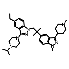 CCc1ccc2c(c1)c(N1CCN(C(C)C)CC1)nn2CC(C)(C)c1ccc2c(c1)c(C1CCN(C)CC1)nn2C